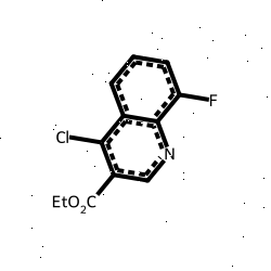 CCOC(=O)c1cnc2c(F)cccc2c1Cl